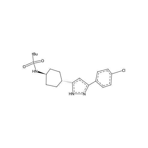 CC(C)(C)S(=O)(=O)N[C@H]1CC[C@H](c2cc(-c3ccc(Cl)cc3)n[nH]2)CC1